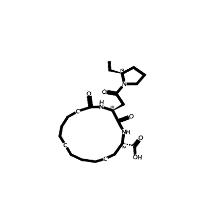 CC[C@H]1CCCN1C(=O)C[C@@H]1NC(=O)CCCCCCCCCC[C@@H](C(=O)O)NC1=O